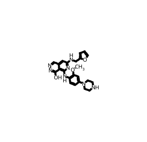 COc1cc(N2CCNCC2)ccc1Nc1nc(NCc2ccco2)cc2cnnc(O)c12